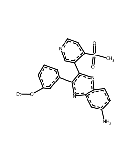 CCOc1cccc(-c2nc3cc(N)ccc3nc2-c2cnccc2S(C)(=O)=O)c1